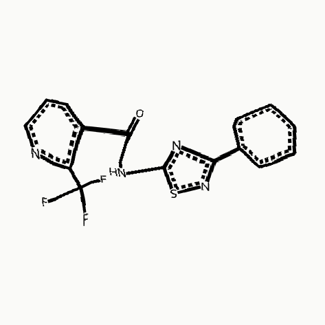 O=C(Nc1nc(-c2ccccc2)ns1)c1cccnc1C(F)(F)F